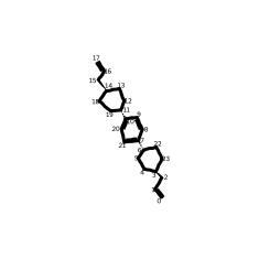 C=CC[C@H]1CC[C@H](c2ccc([C@H]3CC[C@H](CC=C)CC3)cc2)CC1